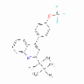 CC(C)(C)[Si](C)(C)c1cc(-c2ccc(OC(F)(F)F)cc2)c2ccccc2n1